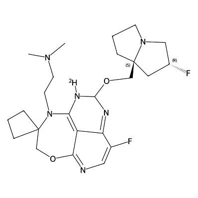 [2H]N1C2=c3c(ncc(F)c3=NC1OC[C@@]13CCCN1C[C@H](F)C3)OCC1(CCC1)N2CCN(C)C